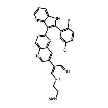 CNCCN/C=C(\C=N)c1cnc2ccc(-c3c(-c4cc(Cl)ccc4F)[nH]c4cccnc34)nc2c1